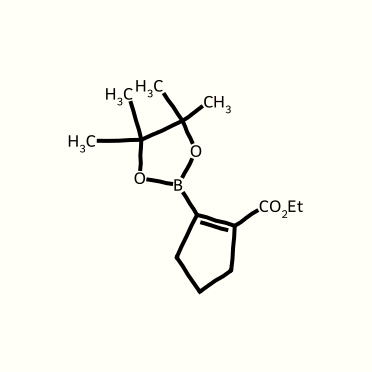 CCOC(=O)C1=C(B2OC(C)(C)C(C)(C)O2)CCC1